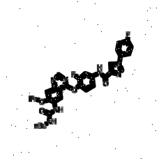 CCCCNC(=O)Nc1cc2c(Oc3ccc(NC(=O)c4cn(-c5ccc(F)cc5)cn4)cc3F)ncnc2cc1OC(C)C